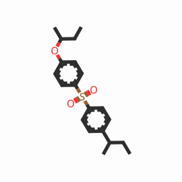 CCC(C)Oc1ccc(S(=O)(=O)c2ccc(C(C)CC)cc2)cc1